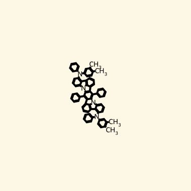 Cc1ccc(N(c2ccccc2)c2cccc3c2c2cccc4c5c(-c6ccccc6)c6c(c(-c7ccccc7)c5n3c24)c2cccc3c4c(N(c5ccccc5)c5ccc(C)c(C)c5)cccc4n6c32)cc1C